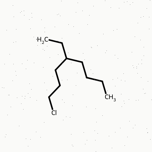 [CH2]CC(CCCC)CCCCl